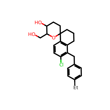 CCc1ccc(Cc2c(Cl)ccc3c2CCCC32CCC(O)C(CO)O2)cc1